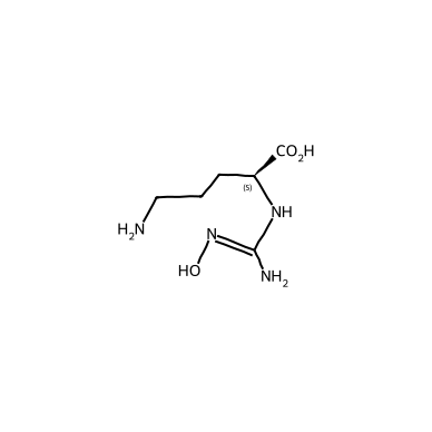 NCCC[C@H](NC(N)=NO)C(=O)O